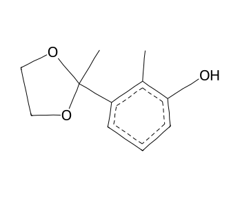 Cc1c(O)cccc1C1(C)OCCO1